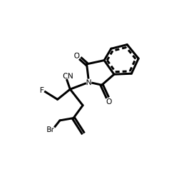 C=C(CBr)CC(C#N)(CF)N1C(=O)c2ccccc2C1=O